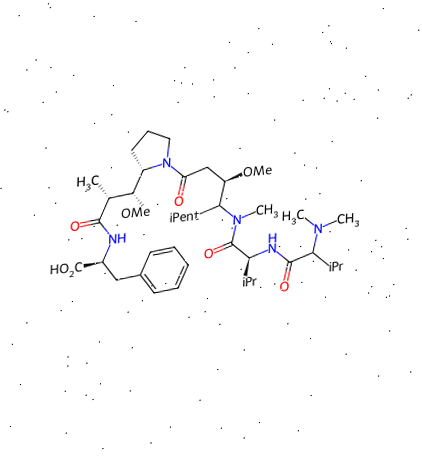 CCCC(C)C([C@@H](CC(=O)N1CCC[C@H]1[C@H](OC)[C@@H](C)C(=O)N[C@@H](Cc1ccccc1)C(=O)O)OC)N(C)C(=O)[C@@H](NC(=O)C(C(C)C)N(C)C)C(C)C